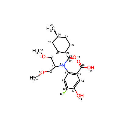 COCC(COC)N(c1cc(F)c(O)cc1C(=O)O)C(=O)[C@H]1CC[C@H](C)CC1